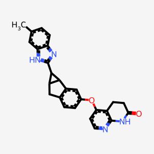 Cc1ccc2nc(C3C4Cc5ccc(Oc6ccnc7c6CCC(=O)N7)cc5C43)[nH]c2c1